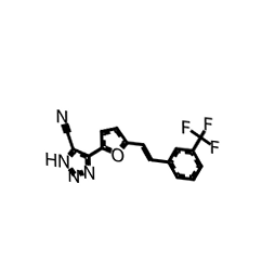 N#Cc1[nH]nnc1-c1ccc(C=Cc2cccc(C(F)(F)F)c2)o1